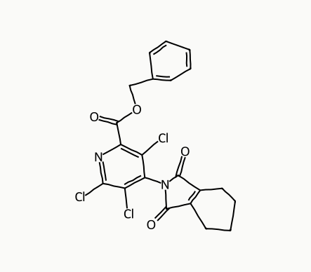 O=C(OCc1ccccc1)c1nc(Cl)c(Cl)c(N2C(=O)C3=C(CCCC3)C2=O)c1Cl